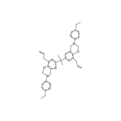 C=CCc1cc(C(C)(C)c2cc(CC=C)c3c(c2)CN(c2ccc(CC)cc2)CO3)cc2c1OCN(c1ccc(CC)cc1)C2